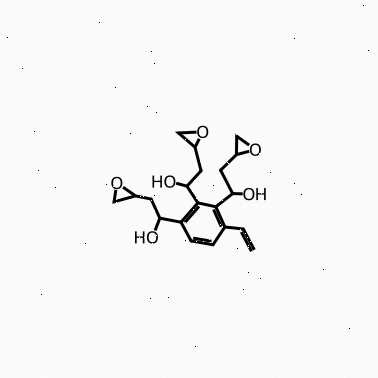 C=Cc1ccc(C(O)CC2CO2)c(C(O)CC2CO2)c1C(O)CC1CO1